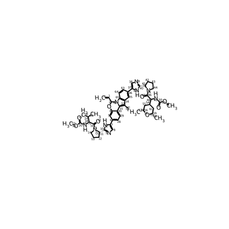 C=CC1Oc2cc(-c3cnc([C@@H]4CCCN4C(=O)[C@@H](NC(=O)OC)C(C)C)[nH]3)ccc2-c2c(F)c3cc(-c4cnc([C@@H]5CCCN5C(=O)C(NC(=O)OC)C5C[C@@H](C)O[C@@H](C)C5)[nH]4)ccc3n21